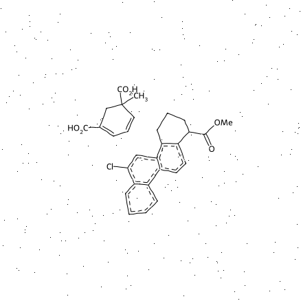 CC1(C(=O)O)C=CC=C(C(=O)O)C1.COC(=O)C1CCCc2c1ccc1c2cc(Cl)c2ccccc21